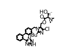 CCCCc1nc(Cl)c(COC(=O)C([C@@H](C)O)N(C)C)n1Cc1ccc(-c2ccccc2-c2nn[nH]n2)cc1